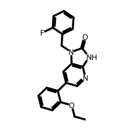 CCOc1ccccc1-c1cnc2[nH]c(=O)n(Cc3ccccc3F)c2c1